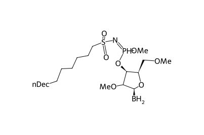 B[C@@H]1O[C@H](COC)[C@H](O/[PH](=N\S(=O)(=O)CCCCCCCCCCCCCCCC)OC)C1OC